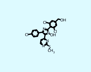 CSc1nccc(-c2c(-c3ccc(Cl)cc3)nc(-c3c(Cl)cc(CO)cc3Cl)n2O)n1